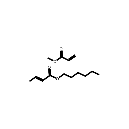 C=CC(=O)OC.CC=CC(=O)OCCCCCC